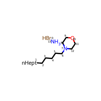 Br.CCCCCCCCCCCCN1CCOCC1.N